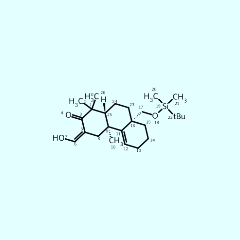 CC1(C)C(=O)/C(=C\O)C[C@]2(C)C3=CCCC[C@]3(CO[Si](C)(C)C(C)(C)C)CC[C@@H]12